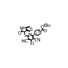 CCc1c(C#N)c(SC(C(N)=O)c2ccsc2)nc(N2CCN(C(=O)OC(C)(C)C)CC2)c1C#N